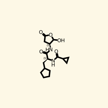 O=C1C[C@H](NC(=O)[C@H](CC2CCCC2)NC(=O)C2CC2)C(O)O1